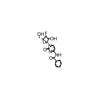 O=C(Nc1ccn([C@@H]2O[C@H](CO)[C@@H](F)[C@H]2O)c(=O)n1)c1ccccc1